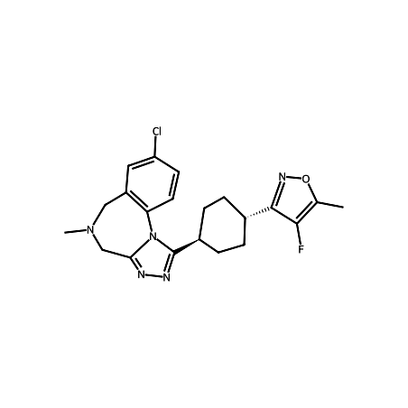 Cc1onc([C@H]2CC[C@H](c3nnc4n3-c3ccc(Cl)cc3CN(C)C4)CC2)c1F